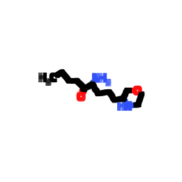 CCCCC(=O)C(N)CCCC1COCCN1